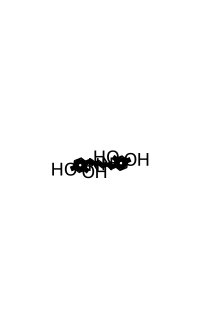 Oc1ccc(C=NCCN=Cc2ccc(O)cc2O)c(O)c1